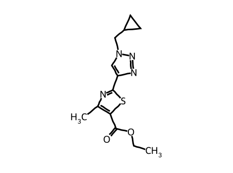 CCOC(=O)c1sc(-c2cn(CC3CC3)nn2)nc1C